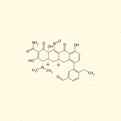 CCc1ccc(C=O)cc1-c1ccc(O)c2c1C[C@H]1C[C@H]3[C@H](N(C)C)C(O)=C(C(N)=O)C(=O)[C@@]3(O)C(N=O)=C1C2=O